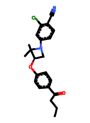 CCCC(=O)c1ccc(O[C@@H]2CN(c3ccc(C#N)c(Cl)c3)C2(C)C)cc1